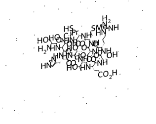 CSCC[C@H](NC(=O)[C@H](CO)NC(=O)[C@H](CCCNC(=N)N)NC(=O)[C@H](CO)NC(=O)[C@H](CCC(=O)O)NC(=O)[C@@H](NC(=O)[C@@H](NC(=O)[C@H](Cc1c[nH]cn1)NC(=O)[C@@H](NC(=O)[C@@H](N)CO)[C@@H](C)O)[C@@H](C)O)[C@@H](C)O)C(=O)N[C@H](C(=O)N[C@@H](CS)C(=O)O)C(C)C